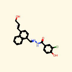 O=C(N/N=C/c1ccc(/C=C/CO)c2ccccc12)c1ccc(O)c(Cl)c1